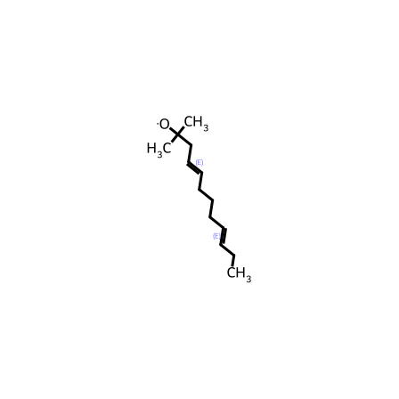 CC/C=C/CCC/C=C/CC(C)(C)[O]